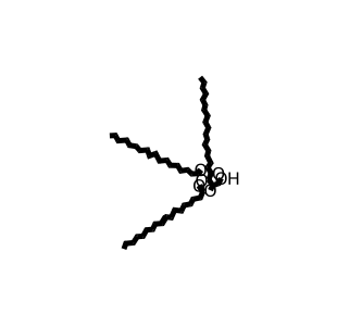 CCCCCCCCC=CCCCCCCCC(=O)OC(CO)C(OC(=O)CCCCCCCCCCCCCCCCC)C(=O)CCCCCCCCCCCCCCCCC